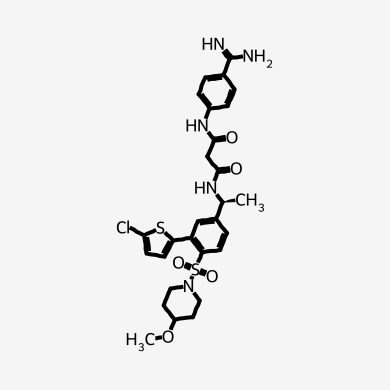 COC1CCN(S(=O)(=O)c2ccc([C@H](C)NC(=O)CC(=O)Nc3ccc(C(=N)N)cc3)cc2-c2ccc(Cl)s2)CC1